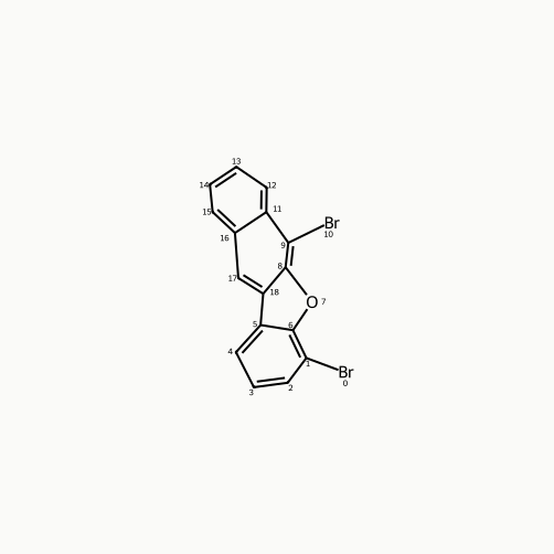 Brc1cccc2c1oc1c(Br)c3ccccc3cc12